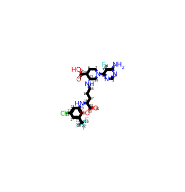 Nc1ncnc(N2CCC(C(=O)O)[C@@H](NCCCC(Nc3cc(Cl)cc(C(F)(F)F)c3)C(=O)O)C2)c1F